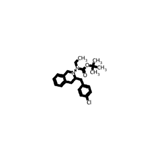 CCN(C(=O)OC(C)(C)C)N1Cc2ccccc2CC1Cc1ccc(Cl)cc1